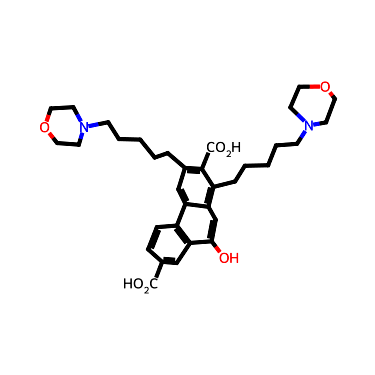 O=C(O)c1ccc2c(c1)c(O)cc1c(CCCCCN3CCOCC3)c(C(=O)O)c(CCCCCN3CCOCC3)cc12